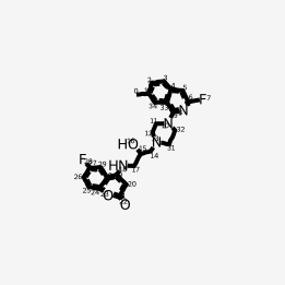 Cc1ccc2cc(F)nc(N3CCN(CC(O)CNc4cc(=O)oc5ccc(F)cc45)CC3)c2c1